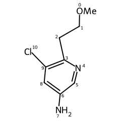 COCCc1ncc(N)cc1Cl